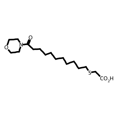 O=C(O)CSCCCCCCCCCCC(=O)N1CCOCC1